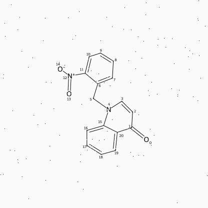 O=c1ccn(Cc2ccccc2[N+](=O)[O-])c2ccccc12